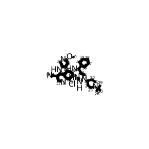 COc1ccc(Nc2c(C#N)cnc3c(Cl)cc(N[C@H](C4=CN(C5CCN(C(C)(C)C)CC5)NN4)c4ccccc4)cc23)cn1